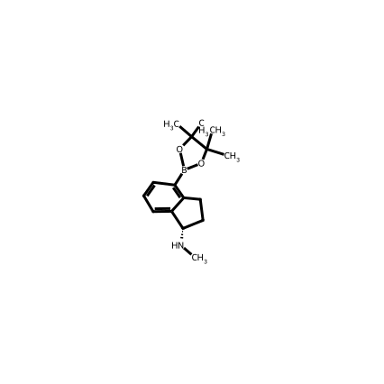 CN[C@H]1CCc2c(B3OC(C)(C)C(C)(C)O3)cccc21